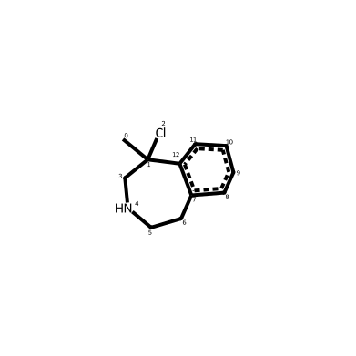 CC1(Cl)CNCCc2ccccc21